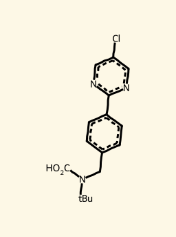 CC(C)(C)N(Cc1ccc(-c2ncc(Cl)cn2)cc1)C(=O)O